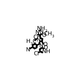 COc1nc(N)ncc1-c1cc2c(n1C(C)C)C(c1ccc(C#N)cc1)N(c1cc(Cl)c[nH]c1=O)C2=O